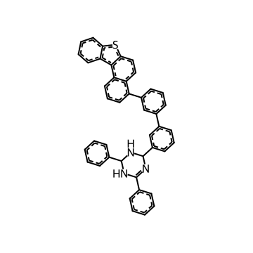 c1ccc(C2=NC(c3cccc(-c4cccc(-c5cccc6c5ccc5sc7ccccc7c56)c4)c3)NC(c3ccccc3)N2)cc1